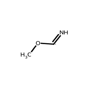 CO[C]=N